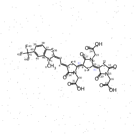 CN1C(=CC=c2s/c(=c3/s/c(=C4/SC(=O)N(CC(=O)O)C4=O)n(CC(=O)O)c3=O)n(CC(=O)O)c2=O)Sc2ccc(C(F)(F)F)cc21